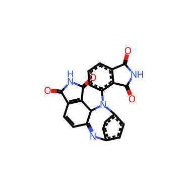 O=C1NC(=O)C2=C1C=CC1=Nc3ccc(cc3)N(c3cccc4c3C(=O)NC4=O)C12